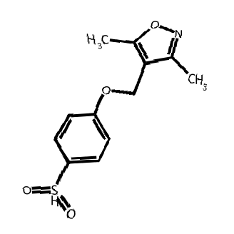 Cc1noc(C)c1COc1ccc([SH](=O)=O)cc1